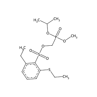 CCSc1cccc(CC)c1S(=O)(=O)OCP(=O)(OC)OC(C)C